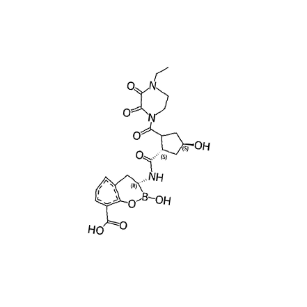 CCN1CCN(C(=O)C2C[C@@H](O)C[C@@H]2C(=O)N[C@H]2Cc3cccc(C(=O)O)c3OB2O)C(=O)C1=O